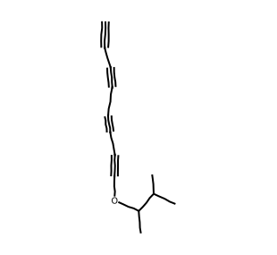 C#CC#CC#CC#COC(C)C(C)C